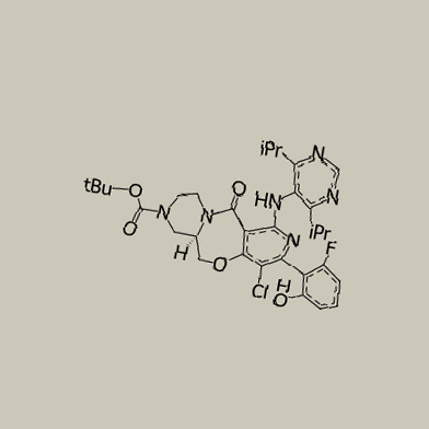 CC(C)c1ncnc(C(C)C)c1Nc1nc(-c2c(O)cccc2F)c(Cl)c2c1C(=O)N1CCN(C(=O)OC(C)(C)C)C[C@@H]1CO2